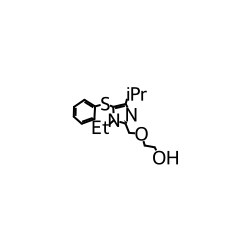 CCn1c(COCCO)nc(C(C)C)c1Sc1ccccc1